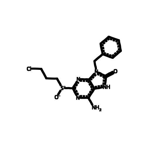 Nc1nc([S+]([O-])CCCCl)nc2c1[nH]c(=O)n2Cc1ccccc1